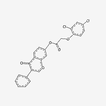 O=C(COc1ccc(Cl)cc1Cl)Oc1ccc2c(=O)c(-c3ccccc3)coc2c1